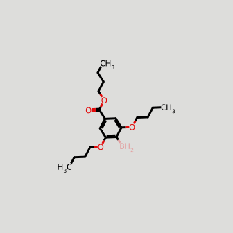 Bc1c(OCCCC)cc(C(=O)OCCCC)cc1OCCCC